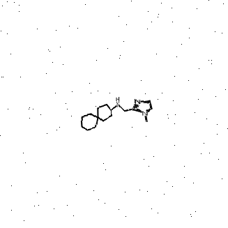 Cn1ccnc1CNC1CCC2(CCCCC2)CC1